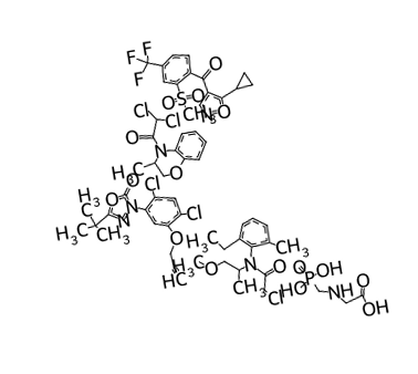 C#CCOc1cc(-n2nc(C(C)(C)C)oc2=O)c(Cl)cc1Cl.CC1COc2ccccc2N1C(=O)C(Cl)Cl.CCc1cccc(C)c1N(C(=O)CCl)C(C)COC.CS(=O)(=O)c1cc(C(F)(F)F)ccc1C(=O)c1cnoc1C1CC1.O=C(O)CNCP(=O)(O)O